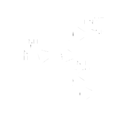 N=C(NO)c1ccc(Oc2cc(NS(=O)(=O)c3ccc4ccccc4c3)cc(Oc3ccc(C(=N)NO)cc3)c2)cc1